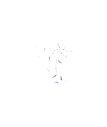 CC(C#N)(NC(=O)[C@@H]1[C@@H]2[C@H](CN1C(=O)[C@@H](NC(=O)O)C(C)(C)C)C2(C)C)c1cncc(F)c1